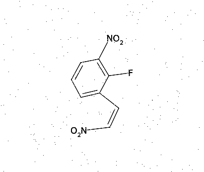 O=[N+]([O-])/C=C\c1cccc([N+](=O)[O-])c1F